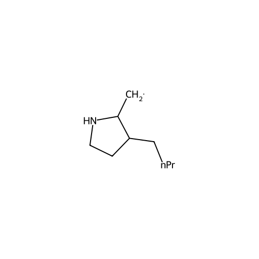 [CH2]C1NCCC1CCCC